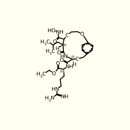 CCOC(=O)[C@H](CCCNC(=N)N)NC(=O)[C@@H]1CCc2ccc(cc2)OCCCC(C(=O)NO)[C@@H](CC(C)C)C(=O)N1